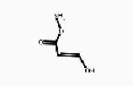 O=C(C=CO)O[SiH3]